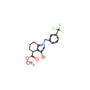 COC(=O)C1CCCc2c1c(Br)cn2Cc1cccc(C(F)(F)F)c1